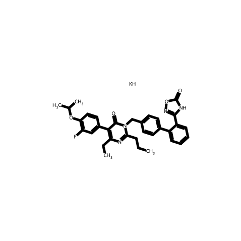 CCCc1nc(CC)c(-c2ccc(OC(C)C)c(F)c2)c(=O)n1Cc1ccc(-c2ccccc2-c2noc(=O)[nH]2)cc1.[KH]